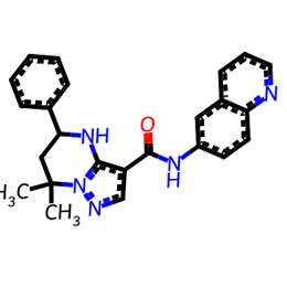 CC1(C)CC(c2ccccc2)Nc2c(C(=O)Nc3ccc4ncccc4c3)cnn21